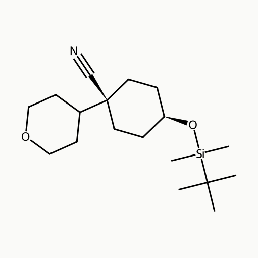 CC(C)(C)[Si](C)(C)O[C@H]1CC[C@](C#N)(C2CCOCC2)CC1